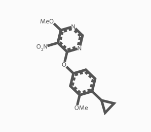 COc1cc(Oc2ncnc(OC)c2[N+](=O)[O-])ccc1C1CC1